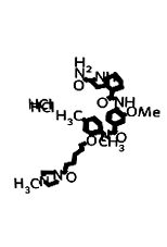 COc1cc(C(=O)N(C)c2ccc(C)cc2OCCCCCC(=O)N2CCN(C)CC2)ccc1NC(=O)c1cccc2c1CC(C(N)=O)N2.Cl.Cl